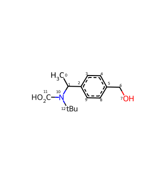 CC(c1ccc(CO)cc1)N(C(=O)O)C(C)(C)C